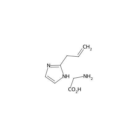 C=CCc1ncc[nH]1.NCC(=O)O